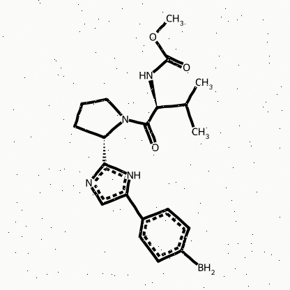 Bc1ccc(-c2cnc([C@@H]3CCCN3C(=O)[C@@H](NC(=O)OC)C(C)C)[nH]2)cc1